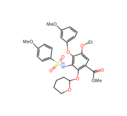 CCOc1cc(C(=O)OC)c(OC2CCCCO2)c(NS(=O)(=O)c2ccc(OC)cc2)c1Oc1cccc(OC)c1